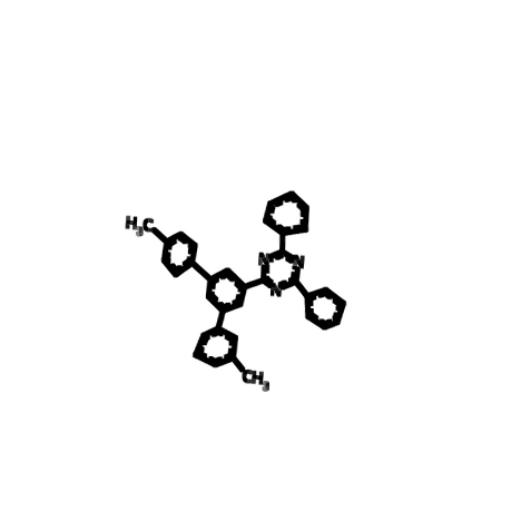 Cc1ccc(-c2cc(-c3cccc(C)c3)cc(-c3nc(-c4ccccc4)nc(-c4ccccc4)n3)c2)cc1